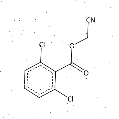 N#CCOC(=O)c1c(Cl)cccc1Cl